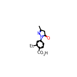 CCc1cc(N2N=C(C)CC2=O)ccc1C(=O)O